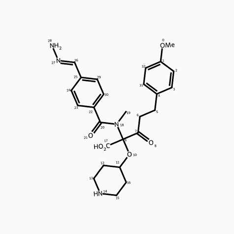 COc1ccc(CCC(=O)C(OC2CCNCC2)(C(=O)O)N(C)C(=O)c2ccc(C=NN)cc2)cc1